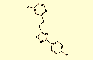 Oc1ccnc(SCc2nc(-c3ccc(Cl)cc3)no2)n1